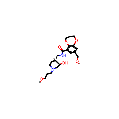 COCCCN1CC[C@@H](CNC(=O)c2cc(COC)cc3c2OCCCO3)C(O)C1